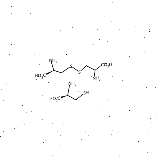 NC(CSSC[C@H](N)C(=O)O)C(=O)O.N[C@@H](CS)C(=O)O